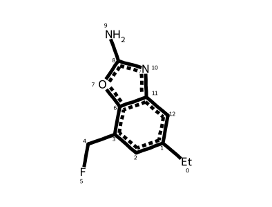 CCc1cc(CF)c2oc(N)nc2c1